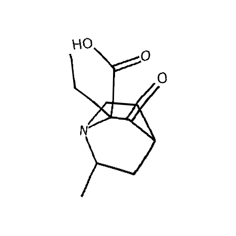 CCC1(C(=O)O)C(=O)C2CCN1C(C)C2